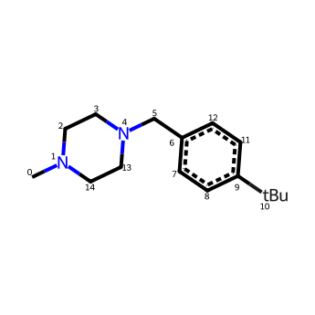 CN1CCN(Cc2ccc(C(C)(C)C)cc2)CC1